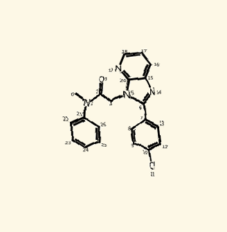 CN(C(=O)Cn1c(-c2ccc(Cl)cc2)nc2cccnc21)c1ccccc1